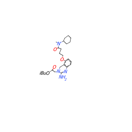 CC(C)COC(=O)CN1Cc2c(cccc2OCCCC(=O)N(C)C2CCCCC2)N=C1N